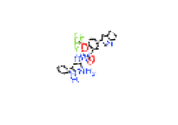 NCC(Cc1c[nH]c2ccccc12)NC(=O)c1cc(-c2cnc3ccccc3c2)ccc1OC(F)(F)F